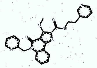 COc1c(C(=O)NCCc2cccnc2)sc2c1c(=O)n(Cc1ccccn1)c1ccccc21